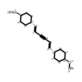 CCCCCC[C@H]1CC[C@H](C=CC#CC=C[C@H]2CC[C@H](OCCC)CC2)CC1